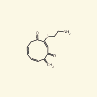 C=C1/C=C\C=C/CC(=O)/C(SCCN)=C\C1=O